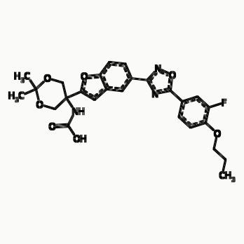 CCCOc1ccc(-c2nc(-c3ccc4oc(C5(NC(=O)O)COC(C)(C)OC5)cc4c3)no2)cc1F